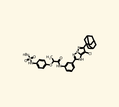 CCCCS(=O)(=O)Nc1ccc(OC(C)C(=O)Nc2cccc(-c3nn4nc(C56CC7CC(CC(C7)C5)C6)c(Cl)c4[nH]3)c2)cc1